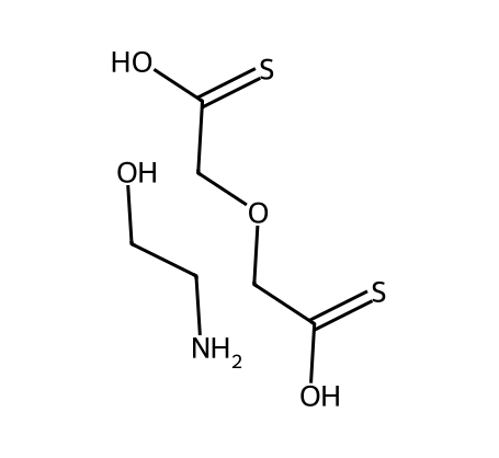 NCCO.OC(=S)COCC(O)=S